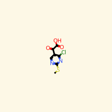 CSc1ncc(C(=O)C(=O)O)c(Cl)n1